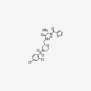 CCCC[C@H](NC(=O)c1ccco1)C(=O)NCC1CN(S(=O)(=O)c2ccc(Cl)cc2Cl)CCO1